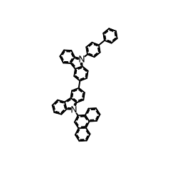 c1ccc(-c2ccc(-n3c4ccccc4c4cc(-c5ccc6c(c5)c5ccccc5n6-c5cc6ccccc6c6ccccc56)ccc43)cc2)cc1